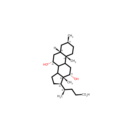 C[C@H]1CC[C@]2(C)C3C[C@H](O)[C@@]4(C)C(CC[C@@H]4[C@H](C)CCC(=O)O)C3[C@H](O)C[C@@H]2C1